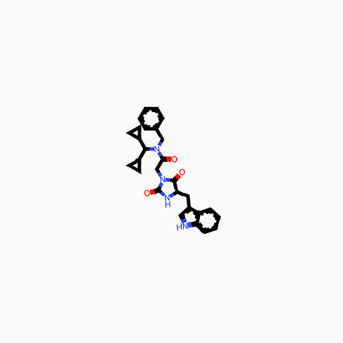 O=C1NC(Cc2c[nH]c3ccccc23)C(=O)N1CC(=O)N(Cc1ccccc1)C(C1CC1)C1CC1